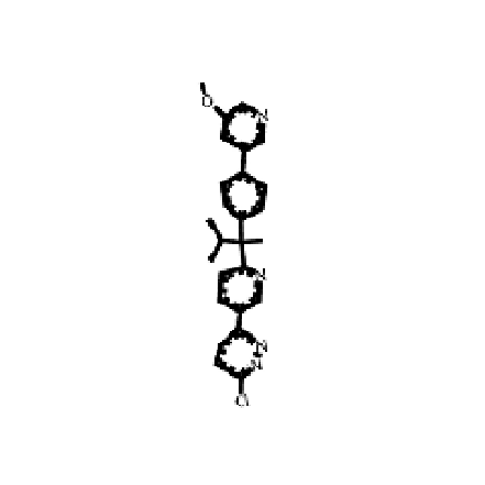 COc1cncc(-c2ccc(C(C)(c3ccc(-c4ccc(Cl)nn4)cn3)C(C)C)cc2)c1